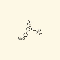 C=C(C)C(=O)OCCOc1cc(-c2ccc(OC)cc2)ccc1OC(=O)C(=C)C